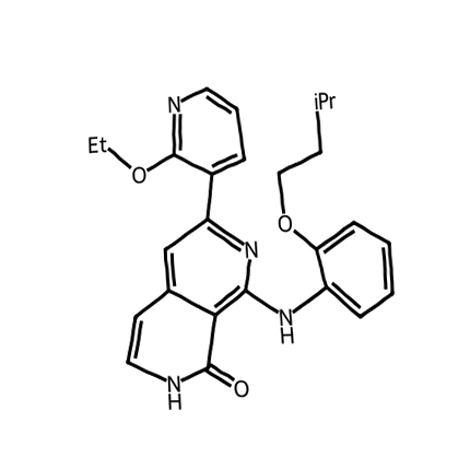 CCOc1ncccc1-c1cc2cc[nH]c(=O)c2c(Nc2ccccc2OCCC(C)C)n1